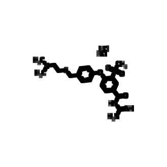 CN(C)CCSCc1ccc(Oc2ccc(C(=O)NC(=N)N)cc2S(C)(=O)=O)cc1.Cl.Cl